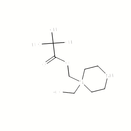 CC[N+]1(COC(=O)C(C)(C)C)CCNCC1